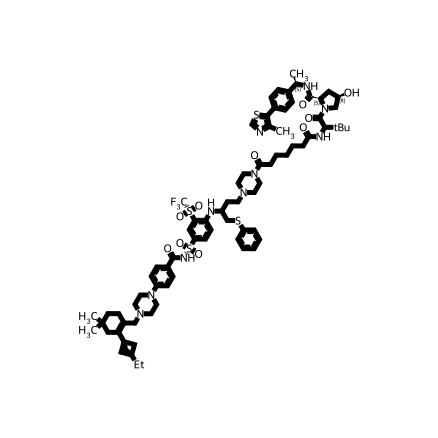 CCC12CC(C3=C(CN4CCN(c5ccc(C(=O)NS(=O)(=O)c6ccc(NC(CCN7CCN(C(=O)CCCCCC(=O)NC(C(=O)N8C[C@H](O)C[C@H]8C(=O)N[C@@H](C)c8ccc(-c9scnc9C)cc8)C(C)(C)C)CC7)CSc7ccccc7)c(S(=O)(=O)C(F)(F)F)c6)cc5)CC4)CCC(C)(C)C3)(C1)C2